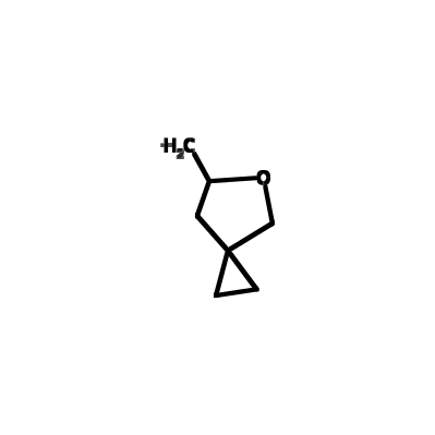 [CH2]C1CC2(CC2)CO1